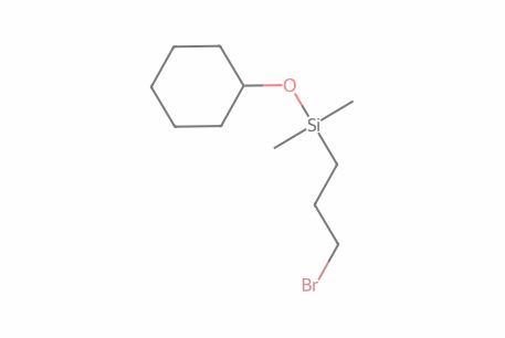 C[Si](C)(CCCBr)OC1CCCCC1